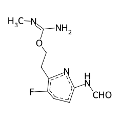 C/N=C(/N)OCCc1nc(NC=O)ccc1F